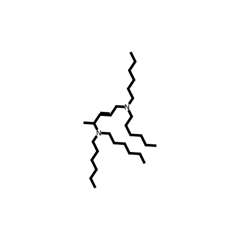 CCCCCCN(CC=CC(C)N(CCCCCC)CCCCCC)CCCCCC